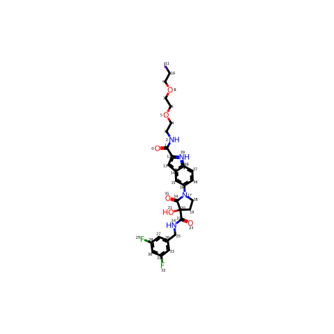 O=C(NCCOCCOCCI)c1cc2cc(N3CCC(O)(C(=O)NCc4cc(F)cc(F)c4)C3=O)ccc2[nH]1